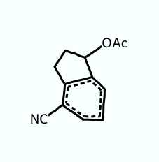 CC(=O)OC1CCc2c(C#N)cccc21